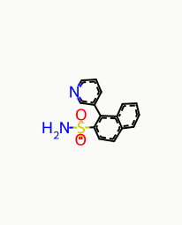 NS(=O)(=O)c1ccc2ccccc2c1-c1cccnc1